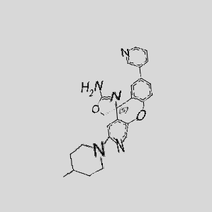 CC1CCN(c2cc3c(cn2)Oc2ccc(-c4cccnc4)cc2[C@@]32COC(N)=N2)CC1